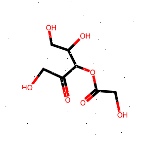 O=C(CO)OC(C(=O)CO)C(O)CO